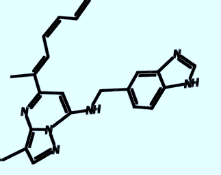 C=C/C=C\C=C(/C)c1cc(NCc2ccc3[nH]cnc3c2)n2ncc(Br)c2n1